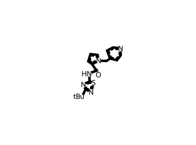 CC(C)(C)c1nsc(NC(=O)c2cccn2Cc2ccncc2)n1